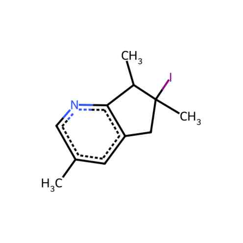 Cc1cnc2c(c1)CC(C)(I)C2C